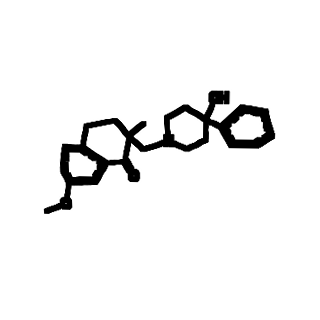 COc1ccc2c(c1)C(=O)C(C)(CN1CCC(O)(c3ccccc3)CC1)CC2